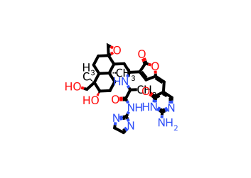 CC(NC(CC1C2(CCC3[C@]1(C)CC[C@@H](O)[C@@]3(C)CO)CO2)C1=C/C(=C\c2cnc(N)[nH]c2=O)OC1=O)C(=O)NC1=NCC=N1